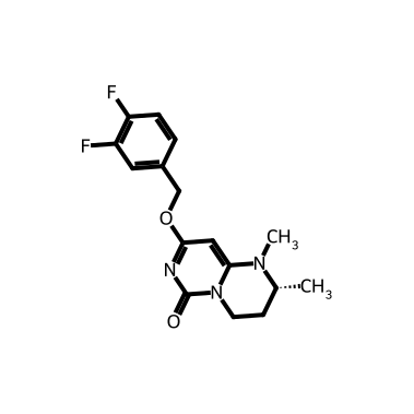 C[C@@H]1CCn2c(cc(OCc3ccc(F)c(F)c3)nc2=O)N1C